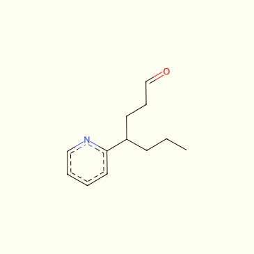 CCCC(CCC=O)c1ccccn1